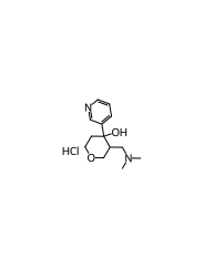 CN(C)CC1COCCC1(O)c1cccnc1.Cl